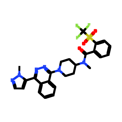 CN(C(=O)c1ccccc1S(=O)(=O)C(F)(F)F)C1CCN(c2nnc(-c3ccnn3C)c3ccccc23)CC1